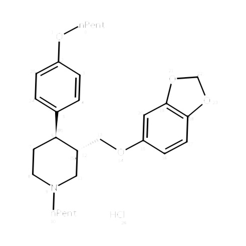 CCCCCOc1ccc([C@@H]2CCN(CCCCC)C[C@H]2COc2ccc3c(c2)OCO3)cc1.Cl